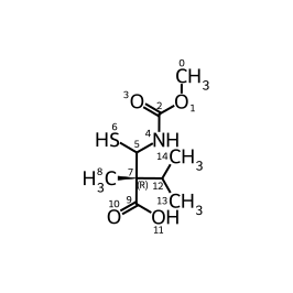 COC(=O)NC(S)[C@@](C)(C(=O)O)C(C)C